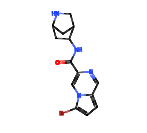 O=C(NC1CC2CC1CN2)c1cn2c(Br)ccc2cn1